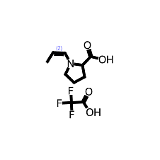 C/C=C\N1CCCC1C(=O)O.O=C(O)C(F)(F)F